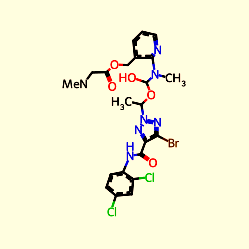 CNCC(=O)OCc1cccnc1N(C)C(O)OC(C)n1nc(Br)c(C(=O)Nc2ccc(Cl)cc2Cl)n1